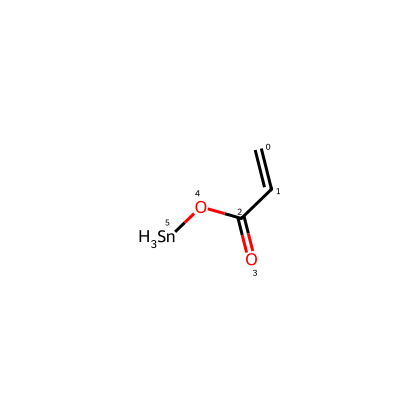 C=CC(=O)[O][SnH3]